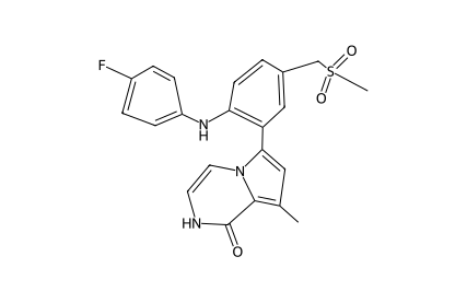 Cc1cc(-c2cc(CS(C)(=O)=O)ccc2Nc2ccc(F)cc2)n2cc[nH]c(=O)c12